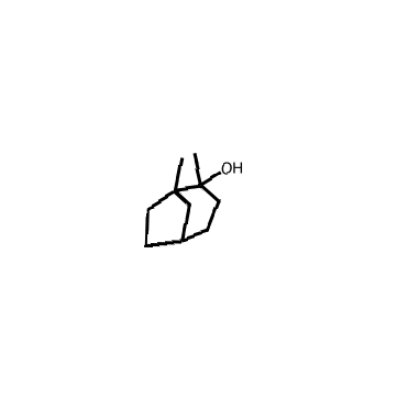 CC1(O)CCC2CCC1(C)C2